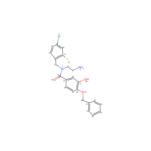 NCCN(Cc1ccc(Cl)cc1F)C(=O)c1ccc(OCc2ccccc2)c(O)c1